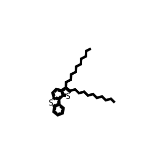 CCCCCCCCCCc1sc2c(ccc3sc4ccccc4c32)c1CCCCCCCCCC